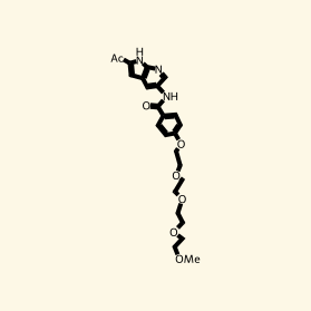 COCCOCCOCCOCCOc1ccc(C(=O)Nc2cnc3[nH]c(C(C)=O)cc3c2)cc1